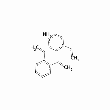 C=Cc1ccccc1.C=Cc1ccccc1C=C.N